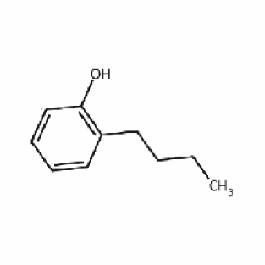 CCCCc1ccc[c]c1O